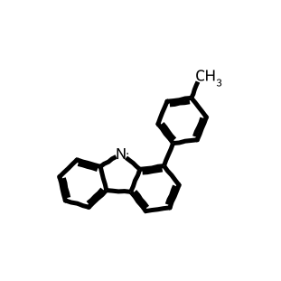 Cc1ccc(-c2cccc3c2[N]c2ccccc2-3)cc1